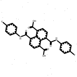 O=C(O)c1ccc(C(=O)Nc2ccc(F)cc2)c2c(C(=O)O)ccc(C(=O)Nc3ccc(F)cc3)c12